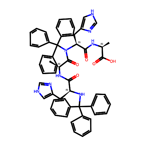 C[C@H](NC(=O)[C@H](Cc1c[nH]cn1)N(C(=O)[C@H](C)NC(=O)[C@H](Cc1c[nH]cn1)NC(c1ccccc1)(c1ccccc1)c1ccccc1)C(c1ccccc1)(c1ccccc1)c1ccccc1)C(=O)O